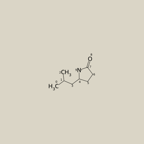 CC(C)CC1CCC(=O)[N]1